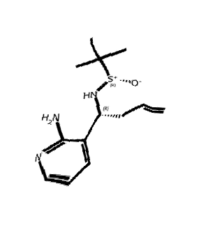 C=CC[C@@H](N[S@@+]([O-])C(C)(C)C)c1cccnc1N